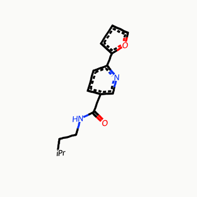 CC(C)CCNC(=O)c1ccc(-c2ccco2)nc1